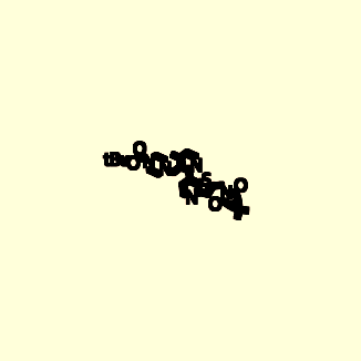 Cc1ccnc(-c2ccnc3cc(CN4C(=O)C5C(C4=O)C5(C)C)sc23)c1CN1CCN(C(=O)OC(C)(C)C)CC1